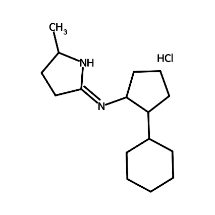 CC1CCC(=NC2CCCC2C2CCCCC2)N1.Cl